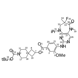 COc1cc(C(=O)OC2CC3(CCN(C(=O)OC(C)(C)C)CC3)C2)ccc1Nc1ncc2c(n1)N(C(C)C)CC(C)(F)C(=O)N2C